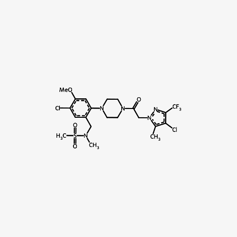 COc1cc(N2CCN(C(=O)Cn3nc(C(F)(F)F)c(Cl)c3C)CC2)c(CN(C)S(C)(=O)=O)cc1Cl